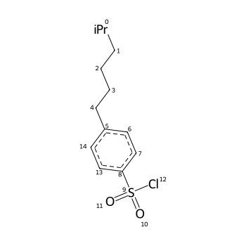 CC(C)CCCCc1ccc(S(=O)(=O)Cl)cc1